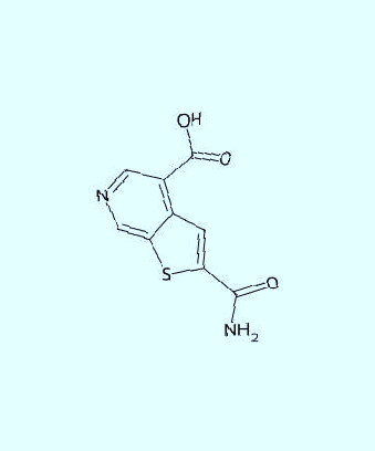 NC(=O)c1cc2c(C(=O)O)cncc2s1